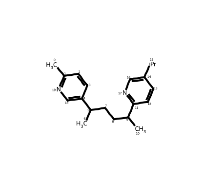 Cc1ccc(C(C)CCC(C)c2ccc(C(C)C)cn2)cn1